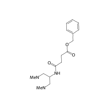 CNCC(CNC)NC(=O)CCC(=O)OCc1ccccc1